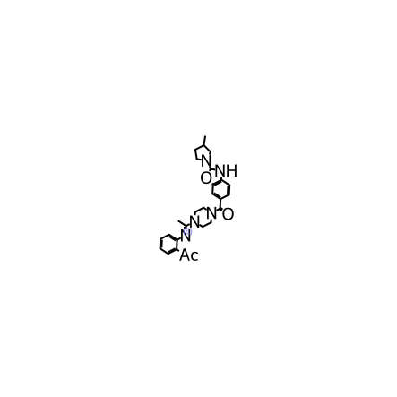 CC(=O)c1ccccc1/N=C(\C)N1CCN(C(=O)c2ccc3c(c2)OC(N2CCC(C)C2)N3)CC1